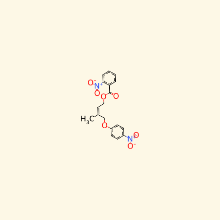 CC(=CCOC(=O)c1ccccc1[N+](=O)[O-])COc1ccc([N+](=O)[O-])cc1